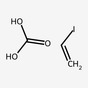 C=CI.O=C(O)O